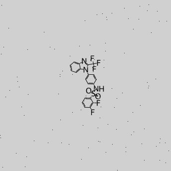 O=S(=O)(Nc1ccc(-n2c(C(F)(F)F)nc3ccccc32)cc1)c1cccc(F)c1F